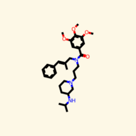 COc1cc(C(=O)N(CCCN2CCCC(NC(C)C)C2)CC(C)=Cc2ccccc2)cc(OC)c1OC